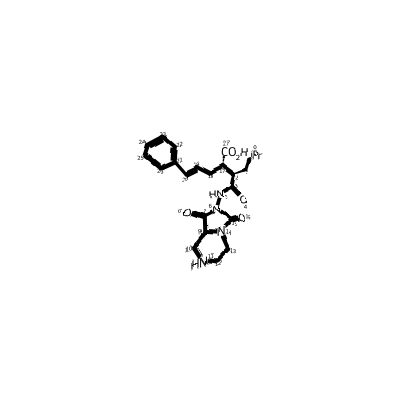 CC(C)C[C@@H](C(=O)NN1C(=O)C2CNCCN2C1=O)[C@H](C/C=C/c1ccccc1)C(=O)O